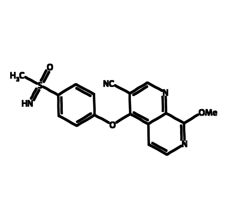 COc1nccc2c(Oc3ccc(S(C)(=N)=O)cc3)c(C#N)cnc12